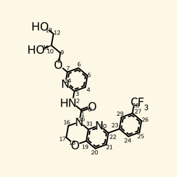 O=C(Nc1cccc(OC[C@@H](O)CO)n1)N1CCOc2ccc(-c3cccc(C(F)(F)F)c3)nc21